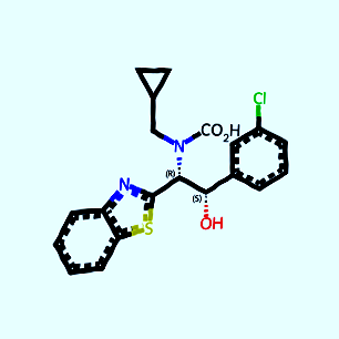 O=C(O)N(CC1CC1)[C@@H](c1nc2ccccc2s1)[C@@H](O)c1cccc(Cl)c1